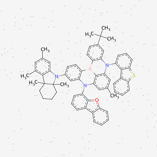 Cc1cc2c3c(c1)N(c1cccc4sc5ccccc5c14)c1cc(C(C)(C)C)ccc1B3c1ccc(N3c4cc(C)cc(C)c4C4(C)CCCCC34C)cc1N2c1cccc2c1oc1ccccc12